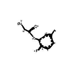 Cc1ccc(F)c(OC(=O)CC(C)(C)C)c1